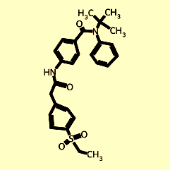 CCS(=O)(=O)c1ccc(CC(=O)Nc2ccc(C(=O)N(c3ccccc3)C(C)(C)C)cc2)cc1